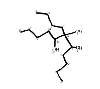 CCCCC(O)C(O)(CCCC)C(O)CCCC